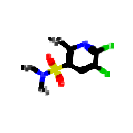 Cc1nc(Cl)c(Cl)cc1S(=O)(=O)N(C)C